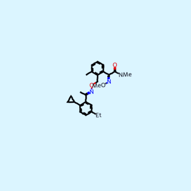 CCc1ccc(C2CC2)c(/C(C)=N/OCc2c(C)cccc2/C(=N\OC)C(=O)NC)c1